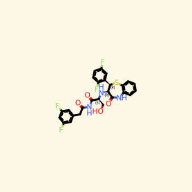 O=C(Cc1cc(F)cc(F)c1)NC(=O)[C@H](CO)N[C@@H]1C(=O)Nc2ccccc2S[C@@H]1c1cc(F)ccc1F